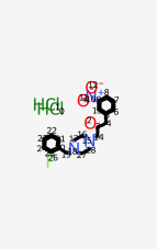 Cl.Cl.O=C(Cc1cccc([N+](=O)[O-])c1)CN1CCN(Cc2ccccc2F)CC1